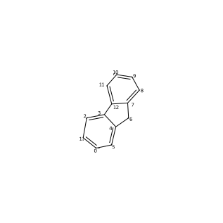 [c]1[c]cc2c(c1)Cc1cc[c]cc1-2